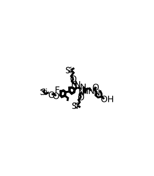 CCc1cc(OCOCC[Si](C)(C)C)c(F)cc1-c1ccc2c(-c3nc(CNC(=O)N4CCC(O)CC4)cn3COCC[Si](C)(C)C)nn(COCC[Si](C)(C)C)c2c1